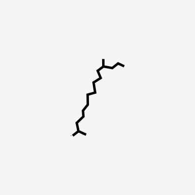 [CH2]C(C)CCCCCCCCCC(C)CCC